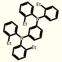 CCc1ccccc1N(c1cccc(N(c2ccccc2CC)c2ccccc2CC)c1)c1ccccc1CC